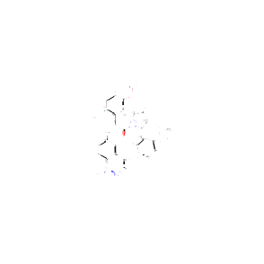 CCOc1ccc(F)c([C@@H](Nc2ccc3c(N)nccc3c2)C(=O)N2CCC[C@@H]2c2ccccc2S(=O)(=O)C(C)C)c1